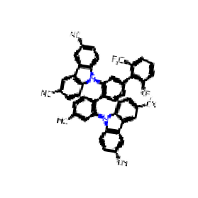 N#Cc1ccc(-c2ccc(-c3c(C(F)(F)F)cccc3C(F)(F)F)cc2-n2c3ccc(C#N)cc3c3cc(C#N)ccc32)c(-n2c3ccc(C#N)cc3c3cc(C#N)ccc32)c1